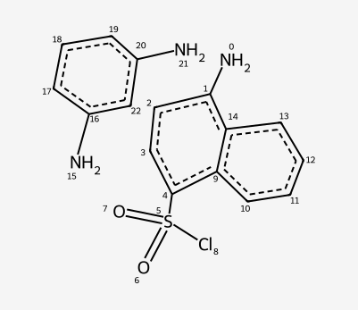 Nc1ccc(S(=O)(=O)Cl)c2ccccc12.Nc1cccc(N)c1